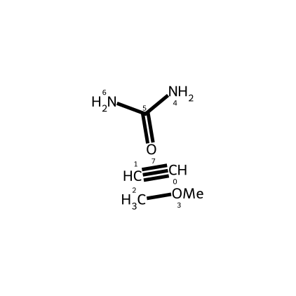 C#C.COC.NC(N)=O